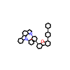 c1ccc(-c2ccc(-c3cccc4c3oc3c(-c5ccc(-n6ccc7ccc8c9ccccc9n(-c9ccccc9)c8c76)cc5)cccc34)cc2)cc1